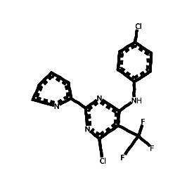 FC(F)(F)c1c(Cl)nc(-c2ccccn2)nc1Nc1ccc(Cl)cc1